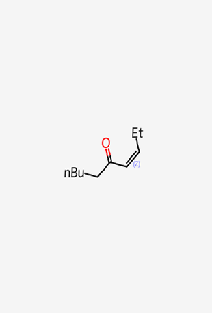 CC/C=C\C(=O)CCCCC